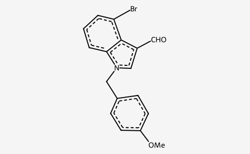 COc1ccc(Cn2cc(C=O)c3c(Br)cccc32)cc1